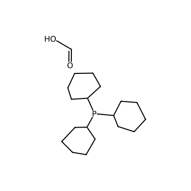 C1CCC(P(C2CCCCC2)C2CCCCC2)CC1.O=CO